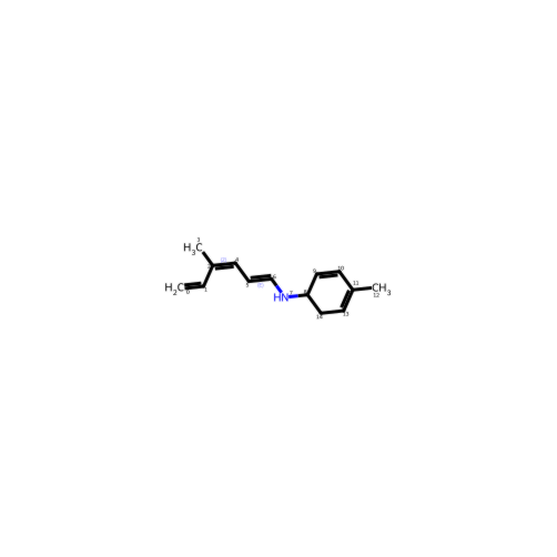 C=C/C(C)=C\C=C\NC1C=CC(C)=CC1